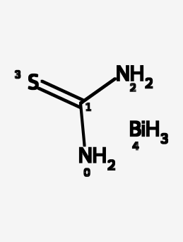 NC(N)=S.[BiH3]